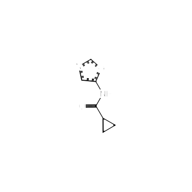 O=C(Nc1cnco1)C1CC1